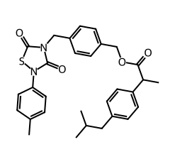 Cc1ccc(-n2sc(=O)n(Cc3ccc(COC(=O)C(C)c4ccc(CC(C)C)cc4)cc3)c2=O)cc1